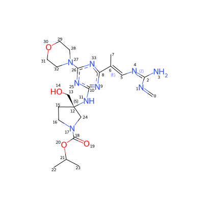 C=N/C(N)=N\C=C(/C)c1nc(N[C@@]2(CO)CCN(C(=O)OC(C)C)C2)nc(N2CCOCC2)n1